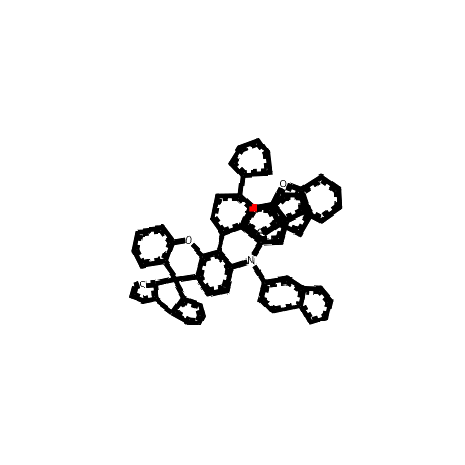 c1ccc(-c2ccc(-c3c(N(c4ccc5ccccc5c4)c4ccc5oc6ccccc6c5c4)ccc4c3Oc3ccccc3C43c4ccccc4-c4ccccc43)c3sc4ccccc4c23)cc1